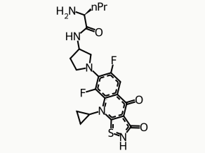 CCC[C@H](N)C(=O)NC1CCN(c2c(F)cc3c(=O)c4c(=O)[nH]sc4n(C4CC4)c3c2F)C1